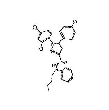 CCCCN(NC(=O)C1=NN(c2ccc(Cl)cc2Cl)C(c2ccc(Cl)cc2)C1)c1ccccc1